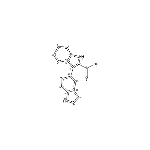 O=C(O)c1[nH]c2ccccc2c1-c1ccc2[nH]ccc2c1